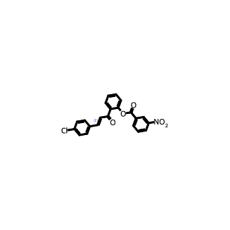 O=C(Oc1ccccc1C(=O)/C=C/c1ccc(Cl)cc1)c1cccc([N+](=O)[O-])c1